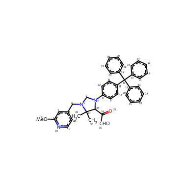 COc1cc(CN2CN(c3ccc(C(c4ccccc4)(c4ccccc4)c4ccccc4)cc3)C(C(=O)C=O)C2(C)C)ccn1